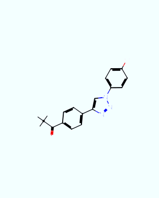 CC(C)(C)C(=O)c1ccc(-c2cn(-c3ccc(O)cc3)nn2)cc1